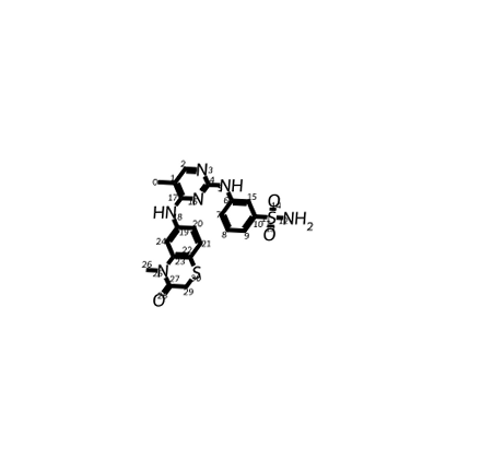 Cc1cnc(Nc2cccc(S(N)(=O)=O)c2)nc1Nc1ccc2c(c1)N(C)C(=O)CS2